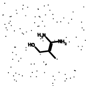 CC(CO)=C(N)N